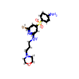 Nc1ccc(S(=O)(=O)c2cc(Br)nc(NCCCN3CCOCC3)c2)cc1